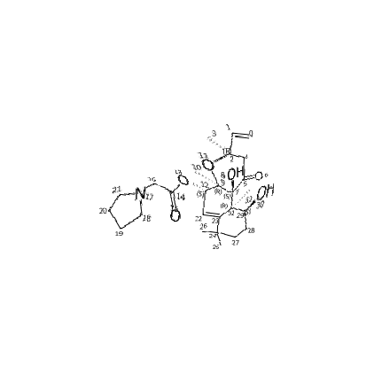 C=C[C@@]1(C)CC(=O)[C@@]2(O)[C@](C)(O1)[C@@H](OC(=O)CN1CCCC1)C=C1C(C)(C)CC[C@H](O)[C@@]12C